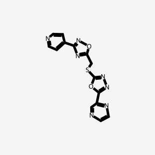 c1cc(-c2noc(CSc3nnc(-c4cnccn4)o3)n2)ccn1